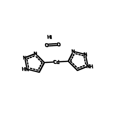 I.O=O.c1[nH]nn[c]1[Cd][c]1c[nH]nn1